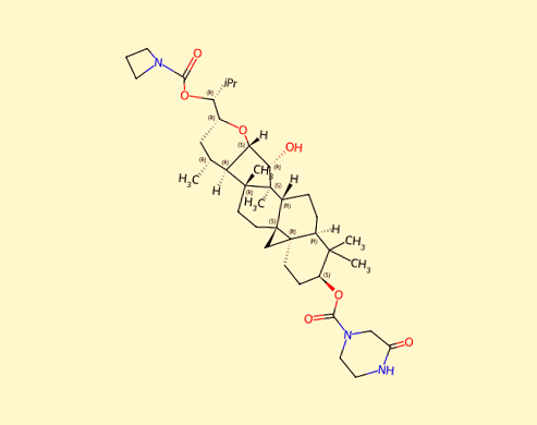 CC(C)[C@@H](OC(=O)N1CCC1)[C@H]1C[C@@H](C)[C@H]2[C@H](O1)[C@H](O)[C@@]1(C)[C@@H]3CC[C@H]4C(C)(C)[C@@H](OC(=O)N5CCNC(=O)C5)CC[C@@]45C[C@@]35CC[C@]21C